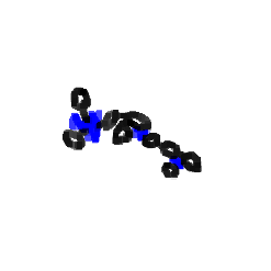 c1ccc(-c2nc(-c3ccccc3)nc(-c3ccc(-c4cccc5c4c4ccccc4n5-c4ccc(-c5ccc6c7ccccc7n(-c7ccccc7)c6c5)cc4)cc3)n2)cc1